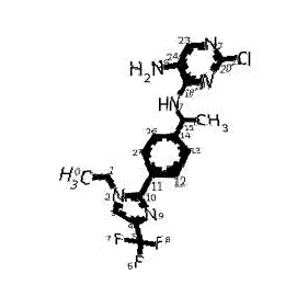 CCn1cc(C(F)(F)F)nc1-c1ccc(C(C)Nc2nc(Cl)ncc2N)cc1